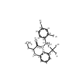 CCC(Oc1cccc(C(F)(F)F)n1)C(=O)ONc1ccc(F)cc1F